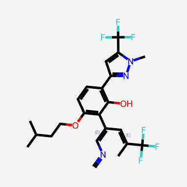 C=N/C=C(\C=C(/C)C(F)(F)F)c1c(OCCC(C)C)ccc(-c2cc(C(F)(F)F)n(C)n2)c1O